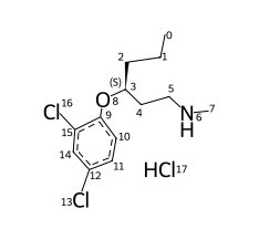 CCC[C@@H](CCNC)Oc1ccc(Cl)cc1Cl.Cl